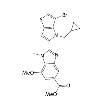 COC(=O)c1cc(OC)c2c(c1)nc(-c1cc3scc(Br)c3n1CC1CC1)n2C